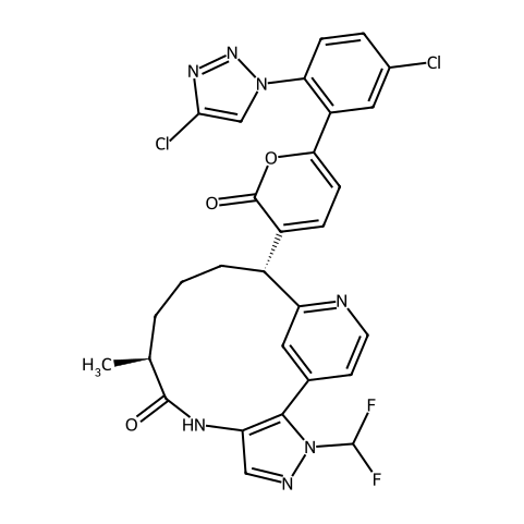 C[C@H]1CCC[C@H](c2ccc(-c3cc(Cl)ccc3-n3cc(Cl)nn3)oc2=O)c2cc(ccn2)-c2c(cnn2C(F)F)NC1=O